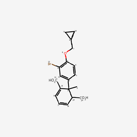 CC1(c2ccc(OCC3CC3)c(Br)c2)C(C(=O)O)=CC=CC1C(=O)O